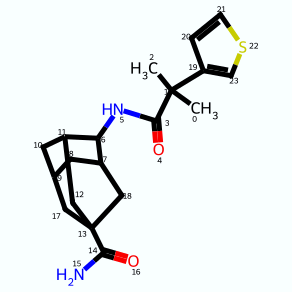 CC(C)(C(=O)NC1C2CC3CC1CC(C(N)=O)(C3)C2)c1ccsc1